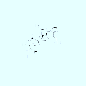 CCCc1nccn1-c1nc(N)nc2c1ncn2[C@@H]1O[C@H](C(O)C(C)=O)[C@](O)(C(C)=O)[C@]1(O)C(C)=O